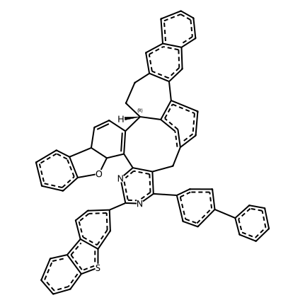 C1=CC2c3ccccc3OC2C2=C1[C@@H]1CCc3cc4ccccc4cc3-c3ccc(cc31)Cc1c2nc(-c2ccc3c(c2)sc2ccccc23)nc1-c1ccc(-c2ccccc2)cc1